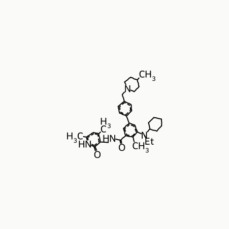 CCN(c1cc(-c2ccc(CN3CCC(C)CC3)cc2)cc(C(=O)NCc2c(C)cc(C)[nH]c2=O)c1C)C1CCCCC1